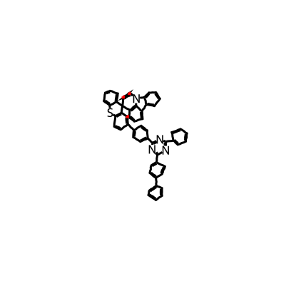 c1ccc(-c2ccc(-c3nc(-c4ccccc4)nc(-c4ccc(-c5ccc6c(c5)C5(c7ccccc7S6)c6ccccc6-n6c7ccccc7c7cccc5c76)cc4)n3)cc2)cc1